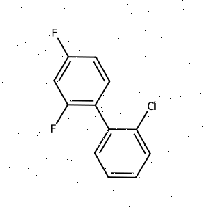 Fc1ccc(-c2cc[c]cc2Cl)c(F)c1